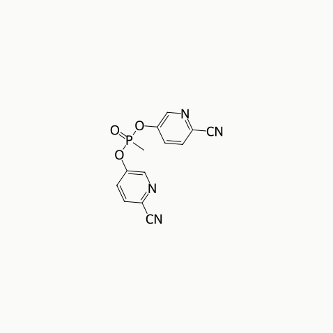 CP(=O)(Oc1ccc(C#N)nc1)Oc1ccc(C#N)nc1